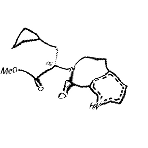 COC(=O)[C@H](CC1CC1)N1CCc2cc[nH]c2C1=O